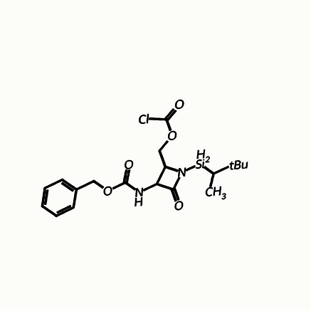 CC([SiH2]N1C(=O)C(NC(=O)OCc2ccccc2)C1COC(=O)Cl)C(C)(C)C